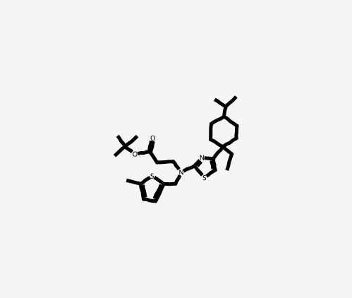 CCC1(c2csc(N(CCC(=O)OC(C)(C)C)Cc3ccc(C)s3)n2)CCC(C(C)C)CC1